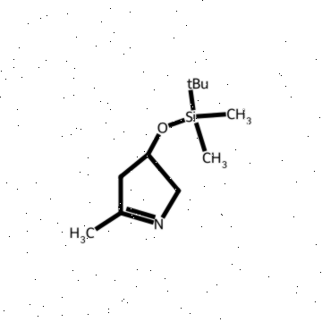 CC1=NCC(O[Si](C)(C)C(C)(C)C)C1